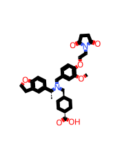 COc1cc(CN(C[C@H]2CC[C@H](C(=O)O)CC2)[C@H](C)c2ccc3c(c2)CCO3)ccc1OCCN1C(=O)CCC1=O